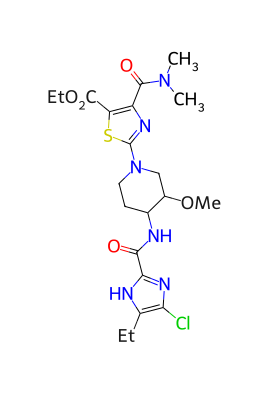 CCOC(=O)c1sc(N2CCC(NC(=O)c3nc(Cl)c(CC)[nH]3)C(OC)C2)nc1C(=O)N(C)C